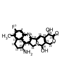 Cc1c(F)cc2nc3c(c4c2c1CC[C@@H]4N)CN1C3=CC2=C(COC(=O)[C@H]2O)C1O